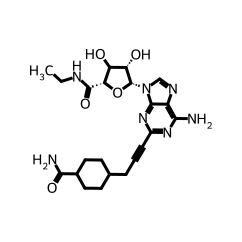 CCNC(=O)[C@H]1O[C@@H](n2cnc3c(N)nc(C#CCC4CCC(C(N)=O)CC4)nc32)[C@@H](O)C1O